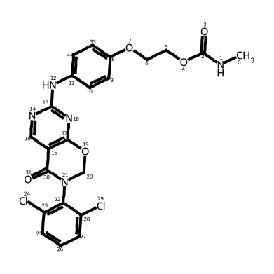 CNC(=O)OCCOc1ccc(Nc2ncc3c(n2)OCN(c2c(Cl)cccc2Cl)C3=O)cc1